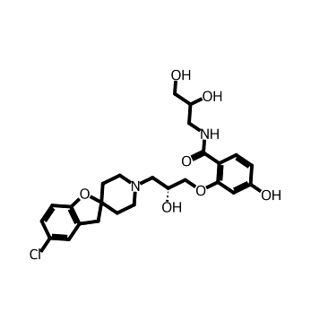 O=C(NCC(O)CO)c1ccc(O)cc1OC[C@H](O)CN1CCC2(CC1)Cc1cc(Cl)ccc1O2